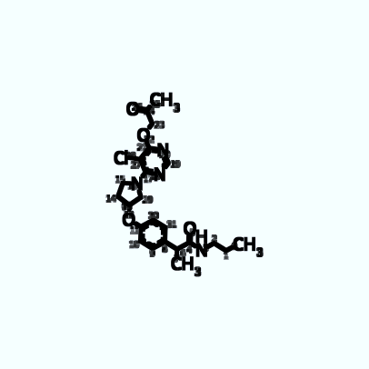 CCCNC(=O)C(C)c1ccc(O[C@@H]2CCN(c3ncnc(OCC(C)=O)c3Cl)C2)cc1